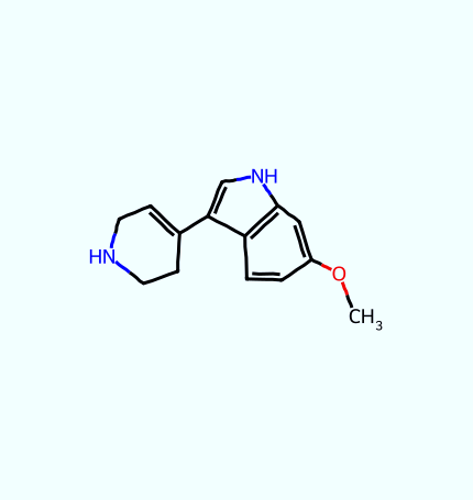 COc1ccc2c(C3=CCNCC3)c[nH]c2c1